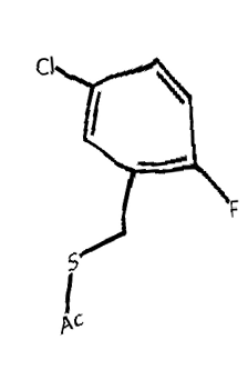 CC(=O)SCc1cc(Cl)ccc1F